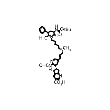 CC1C(c2ccccc2)CC(NC(=O)OC(C)(C)C)C(=O)N1CCCCCN(C)C/C=C/c1cnc(NC=O)c([C@@H]2Cc3cc(C(=O)O)cnc3C2)c1